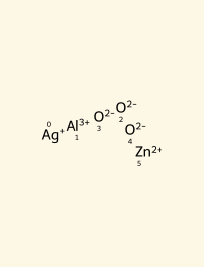 [Ag+].[Al+3].[O-2].[O-2].[O-2].[Zn+2]